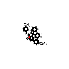 COc1ccc(COC(=O)[C@@H](Cc2ccc(O)cc2)NC(c2ccccc2)(c2ccccc2)c2ccccc2)cc1